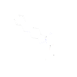 CC(C)(C)OC(=O)n1nc2c(c1N)CCN(Cc1ccccc1)C2